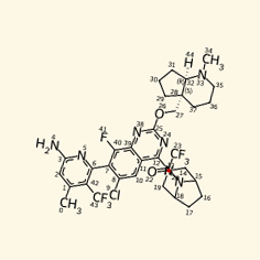 Cc1cc(N)nc(-c2c(Cl)cc3c(N4CC5CCC(C4)N5C(=O)C(F)(F)F)nc(OC[C@]45CCC[C@H]4N(C)CCC5)nc3c2F)c1C(F)(F)F